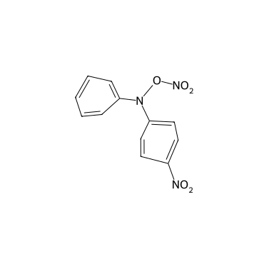 O=[N+]([O-])ON(c1ccccc1)c1ccc([N+](=O)[O-])cc1